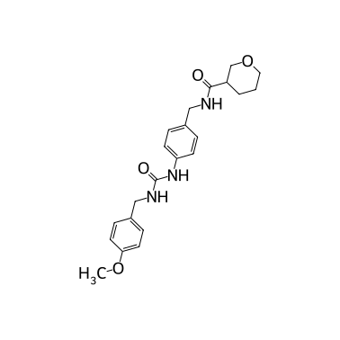 COc1ccc(CNC(=O)Nc2ccc(CNC(=O)C3CCCOC3)cc2)cc1